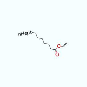 C=COC(=O)CCCCCCCCCCCCC